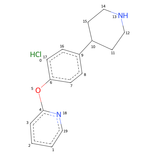 Cl.c1ccc(Oc2ccc(C3CCNCC3)cc2)nc1